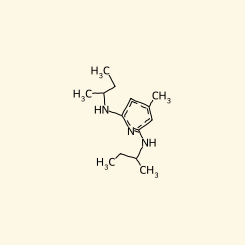 CCC(C)Nc1cc(C)cc(NC(C)CC)n1